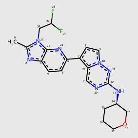 Cc1nc2ccc(-c3ccn4nc(N[C@@H]5CCCOC5)ncc34)nc2n1CC(F)F